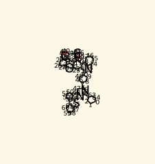 c1ccc(-c2nc(-c3ccc(-c4nc5ccccc5c5cc6c(cc45)Oc4ccccc4C64c5ccccc5-c5ccccc54)cc3)cc(-c3cccc4c3sc3ccccc34)n2)cc1